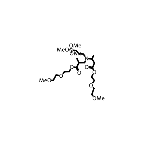 COCCOCCOC(=O)CC(C)N(CCC[Si](OC)(OC)OC)CC(C)C(=O)OCCOCCOC